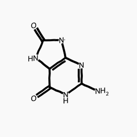 Nc1nc2c(c(=O)[nH]1)NC(=O)[N]2